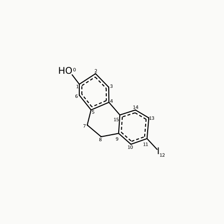 Oc1ccc2c(c1)CCc1cc(I)ccc1-2